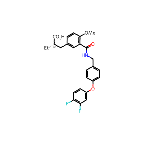 CC[C@@H](Cc1ccc(OC)c(C(=O)NCc2ccc(Oc3ccc(F)c(F)c3)cc2)c1)C(=O)O